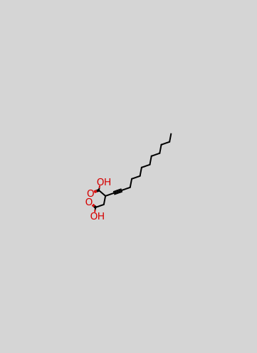 CCCCCCCCCCC#CC(CC(=O)O)C(=O)O